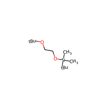 CC(C)(C)OCCO[Si](C)(C)C(C)(C)C